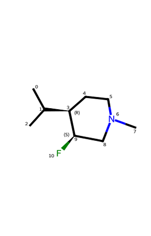 CC(C)[C@H]1CCN(C)C[C@H]1F